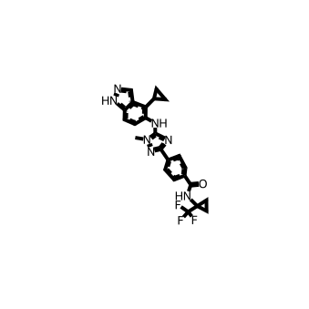 Cn1nc(-c2ccc(C(=O)NC3(C(F)(F)F)CC3)cc2)nc1Nc1ccc2[nH]ncc2c1C1CC1